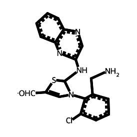 NCc1cccc(Cl)c1N1C=C([C]=O)SC1Nc1cnc2ccccc2n1